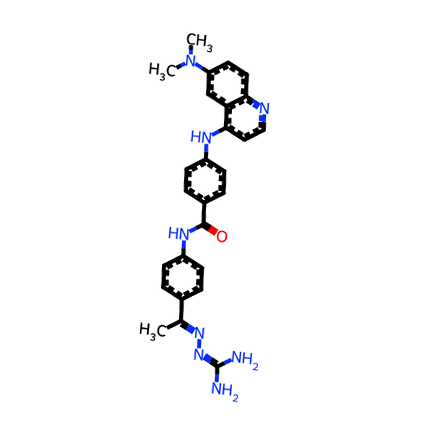 CC(=NN=C(N)N)c1ccc(NC(=O)c2ccc(Nc3ccnc4ccc(N(C)C)cc34)cc2)cc1